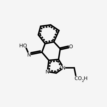 O=C(O)Cn1cnc2c1C(=O)c1ccccc1C2=NO